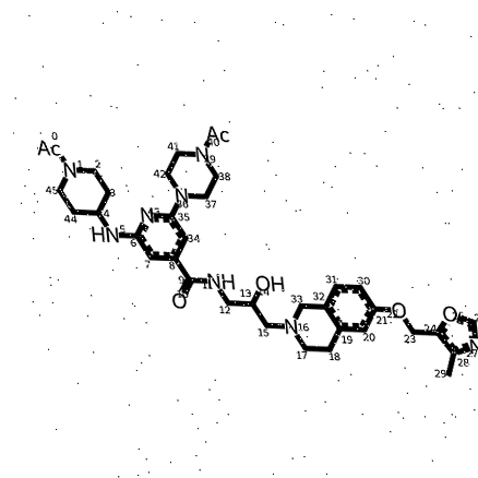 CC(=O)N1CCC(Nc2cc(C(=O)NCC(O)CN3CCc4cc(OCc5ocnc5C)ccc4C3)cc(N3CCN(C(C)=O)CC3)n2)CC1